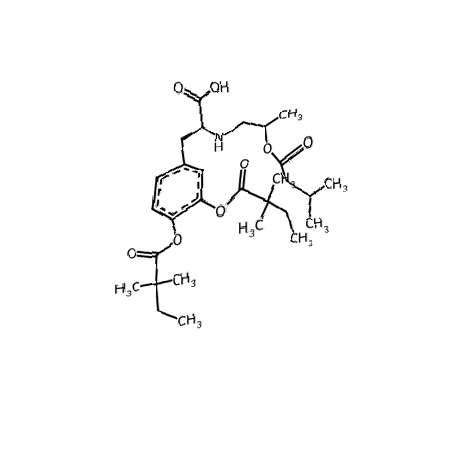 CCC(C)(C)C(=O)Oc1ccc(C[C@H](NCC(C)OC(=O)CC(C)C)C(=O)O)cc1OC(=O)C(C)(C)CC